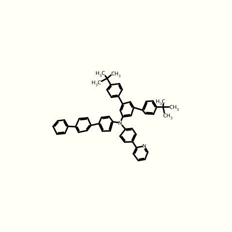 CC(C)(C)c1ccc(-c2cc(-c3ccc(C(C)(C)C)cc3)cc(N(c3ccc(-c4ccc(-c5ccccc5)cc4)cc3)c3ccc(-c4ccccn4)cc3)c2)cc1